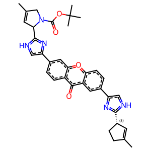 CC1=C[C@@H](c2nc(-c3ccc4oc5cc(-c6c[nH]c(C7C=C(C)CN7C(=O)OC(C)(C)C)n6)ccc5c(=O)c4c3)c[nH]2)CC1